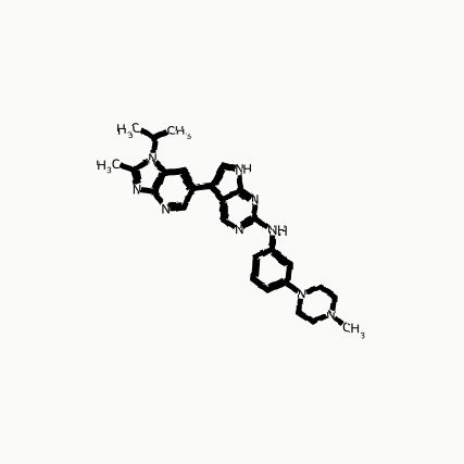 Cc1nc2ncc(-c3c[nH]c4nc(Nc5cccc(N6CCN(C)CC6)c5)ncc34)cc2n1C(C)C